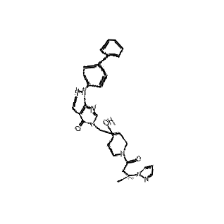 C[C@@H](CC(=O)N1CCC(O)(Cn2cnc3c(cnn3-c3ccc(-c4ccccc4)cc3)c2=O)CC1)n1cccn1